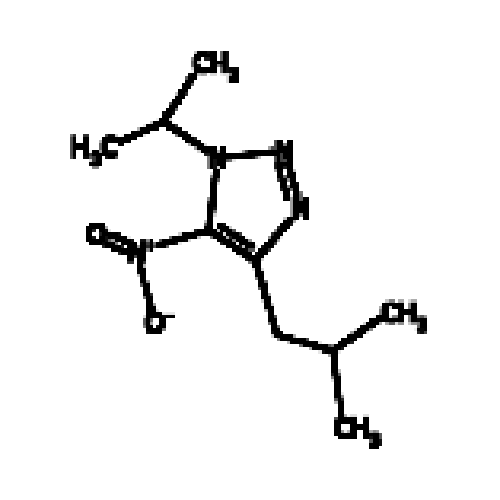 CC(C)Cc1nnn(C(C)C)c1[N+](=O)[O-]